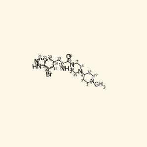 CN1CCC(N2CCN(C(=O)C(N)Cc3cc(Br)c4[nH]ncc4c3)CC2)CC1